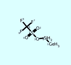 O=S(=O)(O[SiH2][GeH3])C(F)(F)F